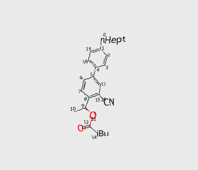 CCCCCCCc1ccc(-c2ccc(C(C)OC(=O)C(C)CC)c(C#N)c2)cc1